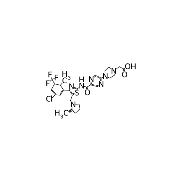 CC1C(c2nc(NC(=O)c3cnc(N4CCN(CC(=O)O)CC4)cn3)sc2CN2CCC[C@H]2C)=CC(Cl)=CC1C(F)(F)F